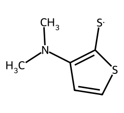 CN(C)c1ccsc1[S]